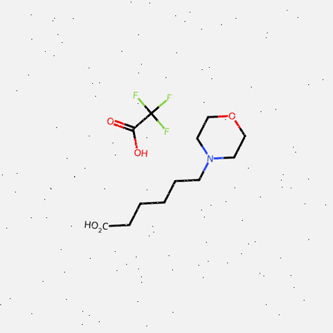 O=C(O)C(F)(F)F.O=C(O)CCCCCN1CCOCC1